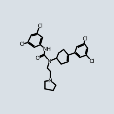 O=C(Nc1cc(Cl)cc(Cl)c1)N(CCN1CCCC1)C1CC=C(c2cc(Cl)cc(Cl)c2)CC1